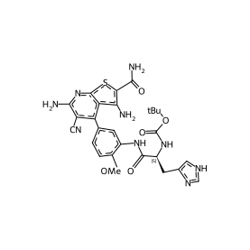 COc1ccc(-c2c(C#N)c(N)nc3sc(C(N)=O)c(N)c23)cc1NC(=O)[C@H](Cc1c[nH]cn1)NC(=O)OC(C)(C)C